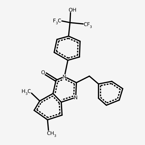 Cc1cc(C)c2c(=O)n(-c3ccc(C(O)(C(F)(F)F)C(F)(F)F)cc3)c(Cc3ccccc3)nc2c1